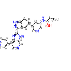 CC(C)(C)CC(O)Nc1cncc(-c2ccc3[nH]nc(-c4nc5c(-c6ccncc6)cncc5[nH]4)c3c2)c1